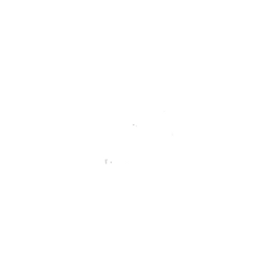 CC(C)(C[O])CN1CCNCC1